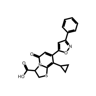 O=C(O)C1CSc2c(C3CC3)c(-c3cc(-c4ccccc4)no3)cc(=O)n21